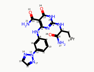 CC(C)CC(Nc1nc(Nc2cccc(-n3nccn3)c2)c(C(N)=O)c(=O)[nH]1)C(N)=O